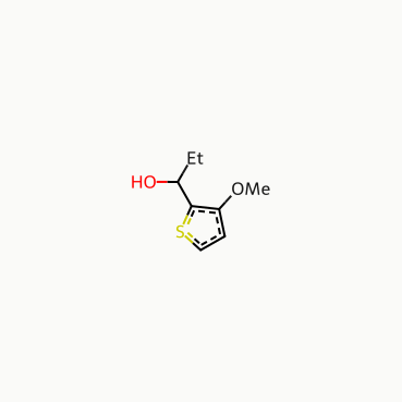 CCC(O)c1sccc1OC